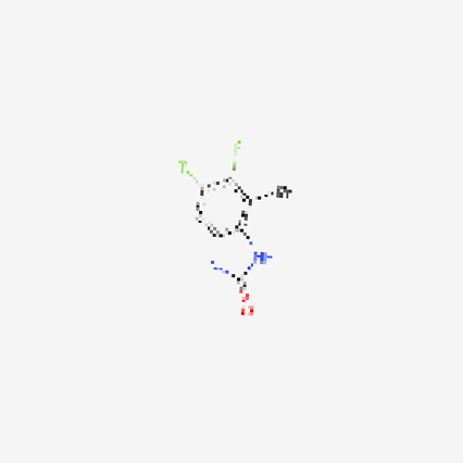 CC(C)c1c(F)c(F)cc2c1NC(=O)[N]2